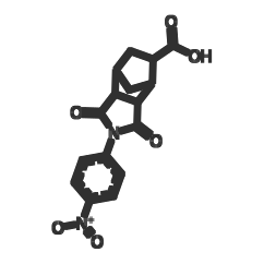 O=C(O)C1CC2CC1C1C(=O)N(c3ccc([N+](=O)[O-])cc3)C(=O)C21